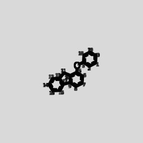 [c]1ccc(Oc2cccc3c2Cc2ccccc2-3)cc1